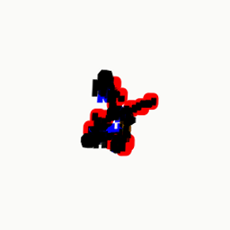 COCCOCCOCCN(C[C@]1(C)CC1SCCCC(=O)ON1C(=O)CCC1=O)c1cc(COc2cc3c(cc2OC)C(=O)N2c4ccccc4C[C@H]2C=N3)cc(COc2cc3c(cc2OC)C(=O)N2c4ccccc4C[C@H]2CN3)c1